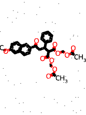 COc1ccc2cc(C(=O)CC(c3ccccc3)C(C(=O)OCOC(C)=O)C(=O)OCOC(C)=O)ccc2c1